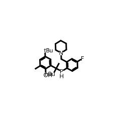 CCCCC(C)(Pc1ccc(F)cc1CN1CCCCC1)c1cc(C(C)(C)C)cc(C)c1O